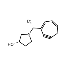 CC[C@H](C1=CC=CCC#C1)N1CC[C@H](O)C1